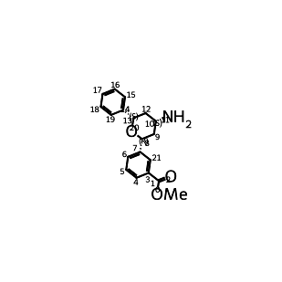 COC(=O)c1cccc([C@H]2C[C@@H](N)C[C@@H](c3ccccc3)O2)c1